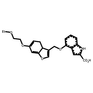 CCOCCOC1=CCC2C(COc3cccc4[nH]c(C(=O)O)cc34)=COC2=C1